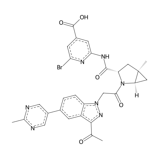 CC(=O)c1nn(CC(=O)N2[C@H](C(=O)Nc3cc(C(=O)O)cc(Br)n3)C[C@@]3(C)C[C@@H]23)c2ccc(-c3cnc(C)nc3)cc12